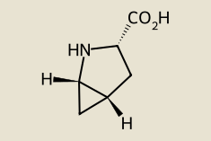 O=C(O)[C@@H]1C[C@@H]2C[C@@H]2N1